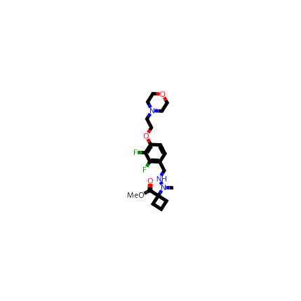 COC(=O)C1(N(C)NCc2ccc(OCCN3CCOCC3)c(F)c2F)CCC1